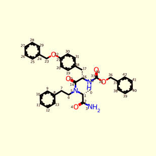 C[C@H](C(N)=O)N(CCc1ccccc1)C(=O)[C@H](Cc1ccc(OCc2ccccc2)cc1)NC(=O)OCc1ccccc1